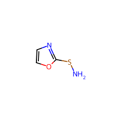 NSc1ncco1